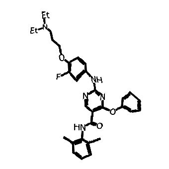 CCN(CC)CCCOc1ccc(Nc2ncc(C(=O)Nc3c(C)cccc3C)c(Oc3ccccc3)n2)cc1F